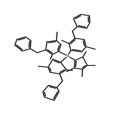 CC1=C(C)C(C)C([Si](c2cc(C)cc(Cc3ccccc3)c2C)(c2cc(C)cc(Cc3ccccc3)c2C)c2cc(C)cc(Cc3ccccc3)c2C)=C1C